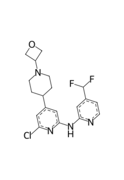 FC(F)c1ccnc(Nc2cc(C3CCN(C4COC4)CC3)cc(Cl)n2)c1